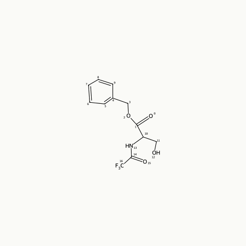 O=C(OCc1ccccc1)C(CO)NC(=O)C(F)(F)F